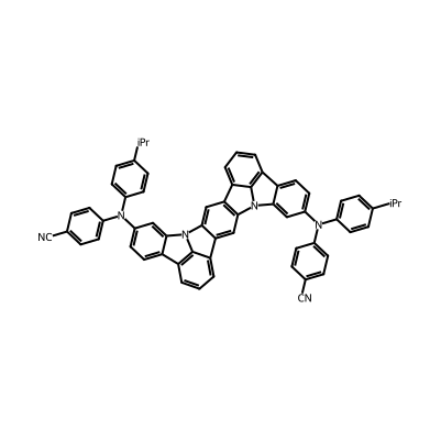 CC(C)c1ccc(N(c2ccc(C#N)cc2)c2ccc3c4cccc5c6cc7c(cc6n(c3c2)c45)c2cccc3c4ccc(N(c5ccc(C#N)cc5)c5ccc(C(C)C)cc5)cc4n7c32)cc1